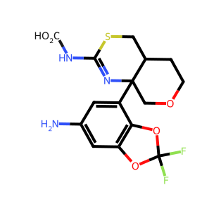 Nc1cc2c(c(C34COCCC3CSC(NC(=O)O)=N4)c1)OC(F)(F)O2